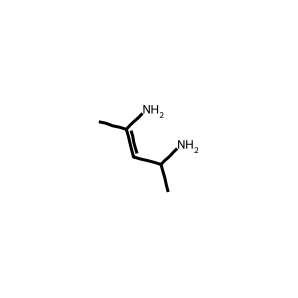 CC(N)=CC(C)N